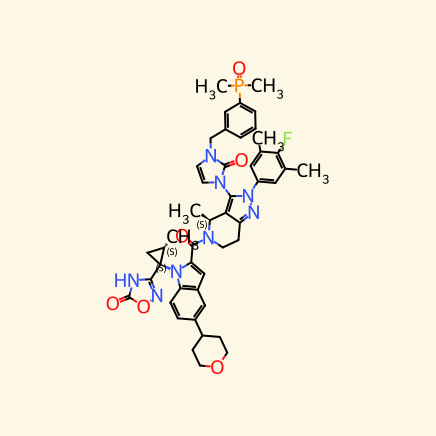 Cc1cc(-n2nc3c(c2-n2ccn(Cc4cccc(P(C)(C)=O)c4)c2=O)[C@H](C)N(C(=O)c2cc4cc(C5CCOCC5)ccc4n2[C@@]2(c4noc(=O)[nH]4)C[C@@H]2C)CC3)cc(C)c1F